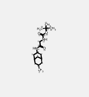 CC1CC2CC(C1)CC(NC(=O)CNC(=O)OC(C)(C)C)C2